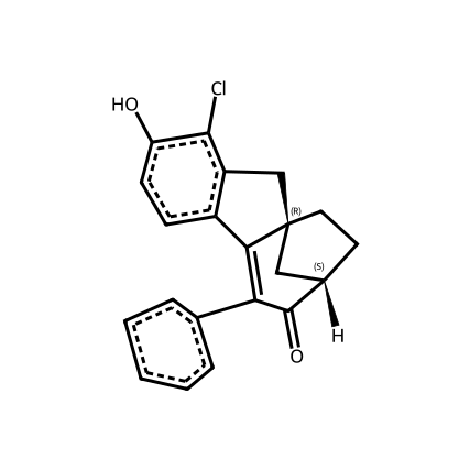 O=C1C(c2ccccc2)=C2c3ccc(O)c(Cl)c3C[C@]23CC[C@H]1C3